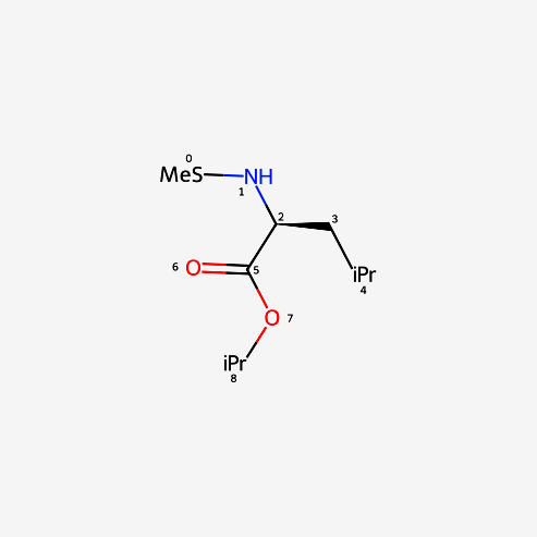 CSN[C@@H](CC(C)C)C(=O)OC(C)C